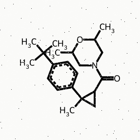 CC1CN(C(=O)C2CC2(C)c2ccc(C(C)(C)C)cc2)CC(C)O1